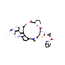 C=C/C(=C(\N=C/C)[C@H](C)OC)c1c2c3cc(ccc3n1CC)-c1csc(n1)[C@@H](OCC)[C@H](NC(=O)[C@@H]1[C@@H](C)[C@H]1C(=O)N1CC3CC(C3)C1)C(=O)N1CCC[C@H](N1)C(=O)OCC(C)(C)C2